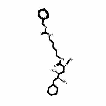 CC(C)C[C@H](C[C@H](O)[C@@H](N)CC1CCCCC1)C(=O)NCCCCCNC(=O)OCc1ccccc1